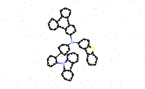 c1ccc(-n2c3ccccc3c3ccccc32)c(-c2ccc(N(c3ccc4sc5ccccc5c4c3)c3ccc4c5ccccc5c5ccccc5c4c3)cc2)c1